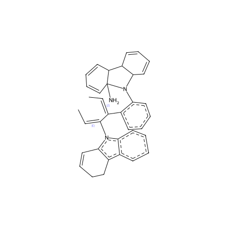 C/C=C(\C(=C/C)n1c2c(c3ccccc31)CCC=C2)c1ccccc1N1C2C=CC=CC2C2C=CC=CC21N